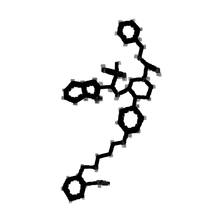 COc1ccccc1COCCCOc1ccc(C2CCN(C(=O)OCc3ccccc3)CC2OC(c2cc3ccccc3[nH]2)S(C)(=O)=O)cc1